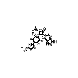 O=C1C(c2ccc3[nH]cnc3c2)[C@@H](c2c(F)cc(-n3ccc(C(F)(F)F)n3)cc2F)[C@H]1C1CC1